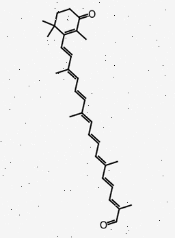 CC1=C(/C=C/C(C)=C/C=C/C(C)=C/C=C/C=C(C)/C=C/C=C(\C)C=O)C(C)(C)CCC1=O